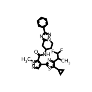 CC(c1nc(-c2cnn(C)c2C(=O)NC2CCn3nc(-c4ccccc4)nc3C2)sc1C1CC1)C(F)F